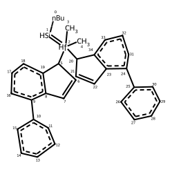 CCCC[SiH]=[Hf]([CH3])([CH3])([CH]1C=Cc2c(-c3ccccc3)cccc21)[CH]1C=Cc2c(-c3ccccc3)cccc21